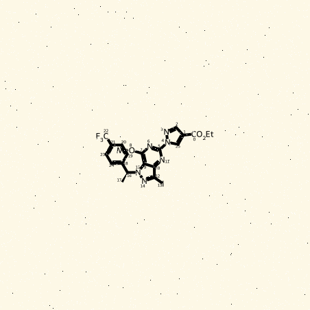 CCOC(=O)c1cnn(-c2nc(OC)c3c(n2)c(I)nn3[C@@H](C)c2ccc(C(F)(F)F)cc2)c1